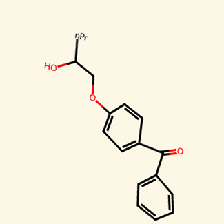 CCCC(O)COc1ccc(C(=O)c2ccccc2)cc1